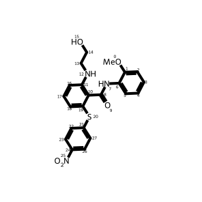 COc1ccccc1NC(=O)c1c(NCCO)cccc1Sc1ccc([N+](=O)[O-])cc1